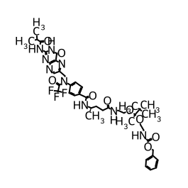 CC(C)C(=O)Nc1nc2ncc(CN(C(=O)C(F)(F)F)c3ccc(C(=O)N[C@H](C)CCC(=O)NCCOC(C)(OCCNC(=O)OCc4ccccc4)C(C)(C)C)cc3)nc2c(=O)[nH]1